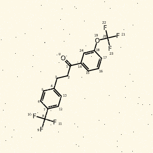 O=C(CCc1ccc(C(F)(F)F)cc1)c1cccc(OC(F)(F)F)c1